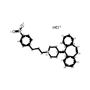 Cl.O=[N+]([O-])c1ccc(CCCN2CCC(=C3c4ccccc4C=Cc4ccccc43)CC2)cc1